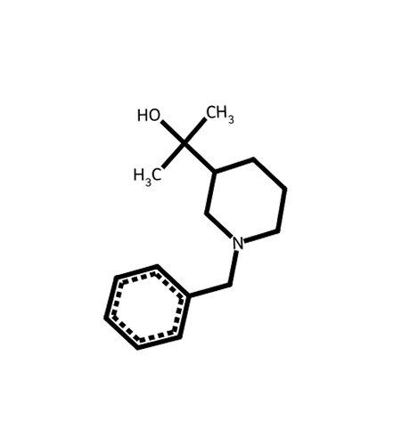 CC(C)(O)C1CCCN(Cc2ccccc2)C1